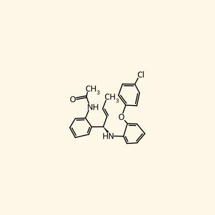 CC=C[C@@H](Nc1ccccc1Oc1ccc(Cl)cc1)c1ccccc1NC(C)=O